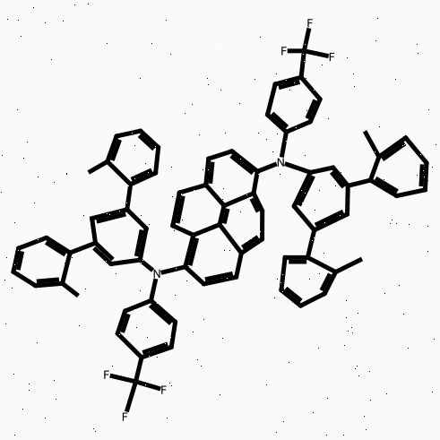 Cc1ccccc1-c1cc(-c2ccccc2C)cc(N(c2ccc(C(F)(F)F)cc2)c2ccc3ccc4c(N(c5ccc(C(F)(F)F)cc5)c5cc(-c6ccccc6C)cc(-c6ccccc6C)c5)ccc5ccc2c3c54)c1